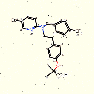 CCc1ccc(N(CCc2ccc(OC(C)(C)C(=O)O)cc2)Cc2ccc(C(F)(F)F)cc2)nc1